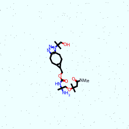 CNC(=O)CC(C)(C)OCC(C)(N)NC(=O)OCC1C2CCc3nnn(C(C)(C)CO)c3CCC21